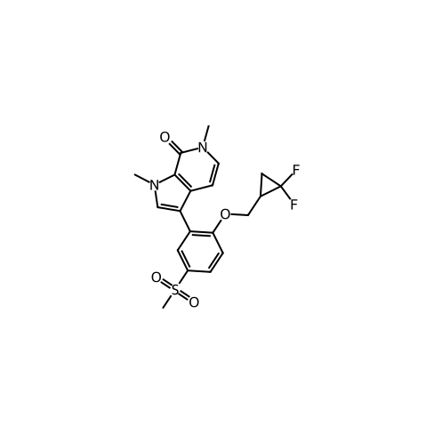 Cn1ccc2c(-c3cc(S(C)(=O)=O)ccc3OCC3CC3(F)F)cn(C)c2c1=O